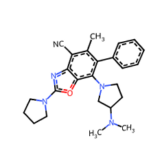 Cc1c(-c2ccccc2)c(N2CCC(N(C)C)C2)c2oc(N3CCCC3)nc2c1C#N